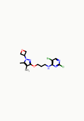 Cc1c([N+](=O)[O-])c(OCCCNc2nc(Cl)ncc2Br)nn1C1COC1